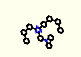 c1ccc(-c2cccc(-c3cccc(-c4ccc(-c5nc(-c6cccc(-c7cccc(-c8ccccc8)c7)c6)nc(-c6cccc(-n7c8ccccc8c8ccccc87)c6)n5)cc4)c3)c2)cc1